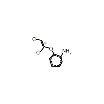 Nc1ccccc1O/C(Cl)=C/Cl